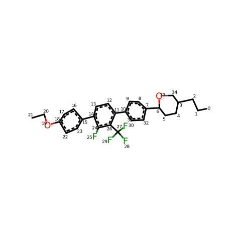 CCCC1CCC(c2ccc(-c3ccc(-c4ccc(OCC)cc4)c(F)c3C(F)(F)F)cc2)OC1